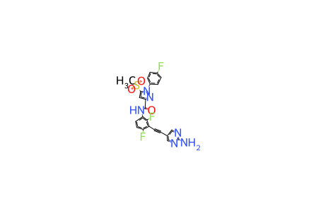 CS(=O)(=O)c1cc(C(=O)Nc2ccc(F)c(C#Cc3cnc(N)nc3)c2F)nn1-c1ccc(F)cc1